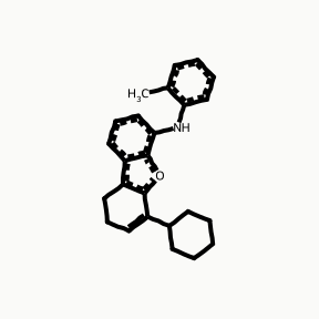 Cc1ccccc1Nc1cccc2c3c(oc12)C(C1CCCCC1)=CCC3